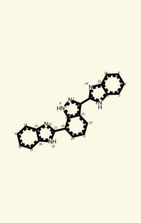 c1ccc2[nH]c(-c3n[nH]c4c(-c5nc6ccccc6[nH]5)cccc34)nc2c1